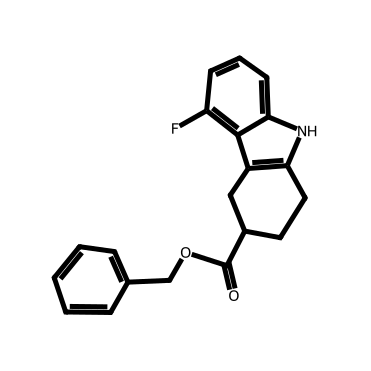 O=C(OCc1ccccc1)C1CCc2[nH]c3cccc(F)c3c2C1